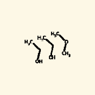 CCO.CCO.COC